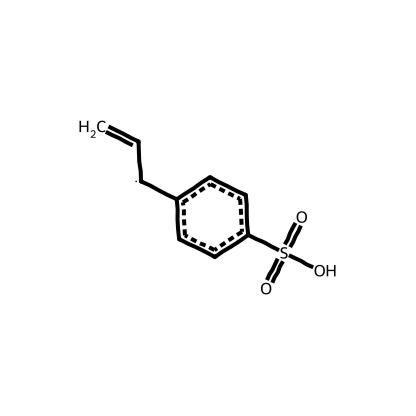 C=C[CH]c1ccc(S(=O)(=O)O)cc1